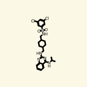 CC(C)Nc1nc(NCC2CCC(CNS(=O)(=O)c3cc(Cl)cc(Cl)c3)CC2)nc2ccccc12